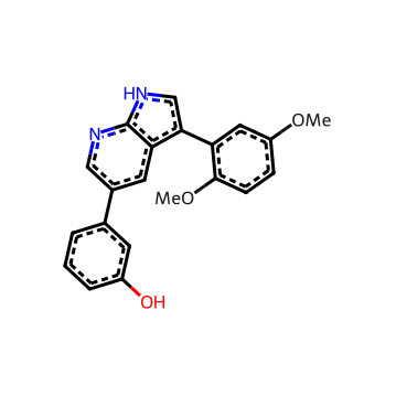 COc1ccc(OC)c(-c2c[nH]c3ncc(-c4cccc(O)c4)cc23)c1